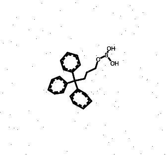 OB(O)OCCCC(c1ccccc1)(c1ccccc1)c1ccccc1